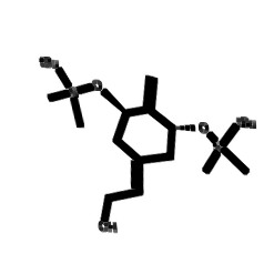 C=C1[C@H](O[Si](C)(C)C(C)(C)C)CC(=CCO)C[C@H]1O[Si](C)(C)C(C)(C)C